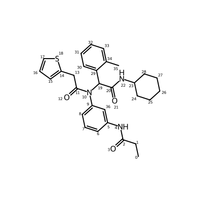 CCC(=O)Nc1cccc(N(C(=O)Cc2cccs2)C(C(=O)NC2CCCCC2)c2ccccc2C)c1